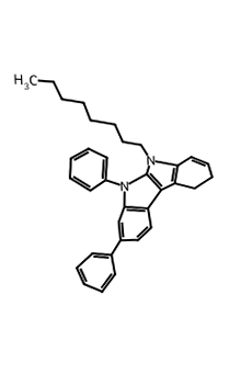 CCCCCCCCn1c2c(c3c4ccc(-c5ccccc5)cc4n(-c4ccccc4)c31)CCC=C2